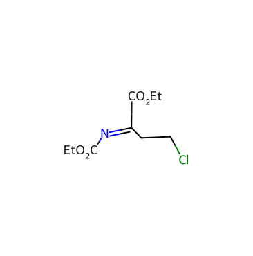 CCOC(=O)N=C(CCCl)C(=O)OCC